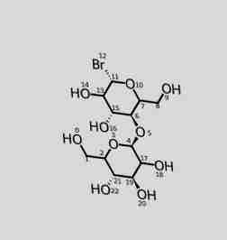 OCC1O[C@@H](O[C@@H]2C(CO)O[C@@H](Br)C(O)[C@H]2O)C(O)[C@@H](O)[C@@H]1O